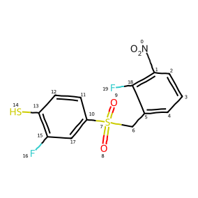 O=[N+]([O-])c1cccc(CS(=O)(=O)c2ccc(S)c(F)c2)c1F